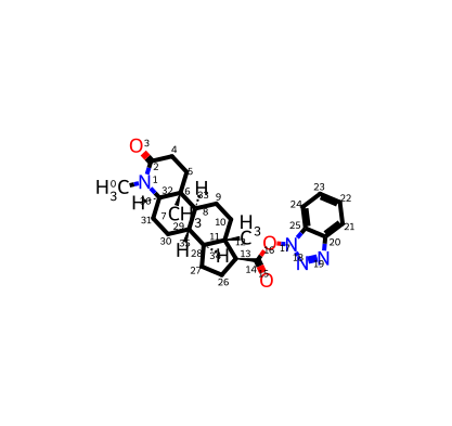 CN1C(=O)CC[C@]2(C)[C@H]3CC[C@]4(C)[C@@H](C(=O)On5nnc6ccccc65)CC[C@H]4[C@@H]3CC[C@@H]12